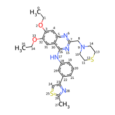 CCOc1cc2nc(CN3CCSCC3)nc(Nc3cccc(-c4csc(C)n4)c3)c2cc1OCC